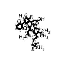 Cc1cc(-c2c(C)cccc2C)cc(C(CC(=O)O)NC(=O)C(CC(C)C)n2cc(CCN3CC(C)(F)C3)c(C(C)C)nc2=O)c1F